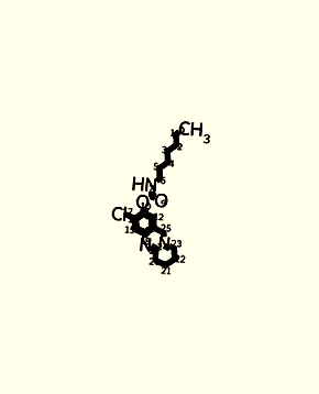 CCCCCCCNC(=O)Oc1cc2c(cc1Cl)N=C1CCCCN1C2